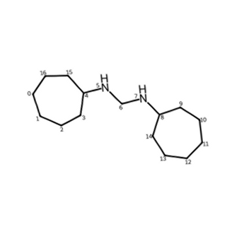 C1CCCC(NCNC2CCCCCC2)CC1